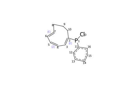 ClP(/C1=C/C=C\C=C\CCC1)c1ccccc1